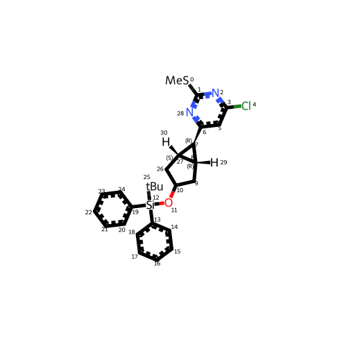 CSc1nc(Cl)cc([C@H]2[C@@H]3CC(O[Si](c4ccccc4)(c4ccccc4)C(C)(C)C)C[C@@H]32)n1